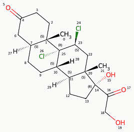 C[C@]12CCC(=O)C[C@@H]1CC[C@H]1[C@@H]3CC[C@](O)(C(=O)CO)[C@@]3(C)C[C@H](Cl)[C@@]12Cl